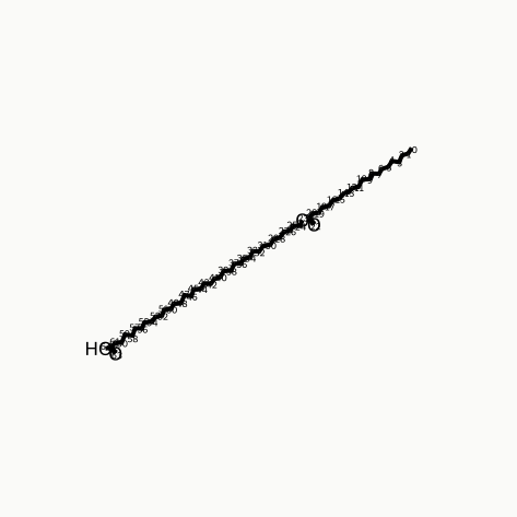 CCCCCCCCC=CCCCCCCCCCCCC(=O)OCCCCCCCCCCCCCCCCCCCCCCCCCCCCCCCCCCCCCCC(=O)O